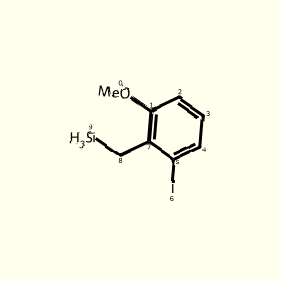 COc1cccc(I)c1C[SiH3]